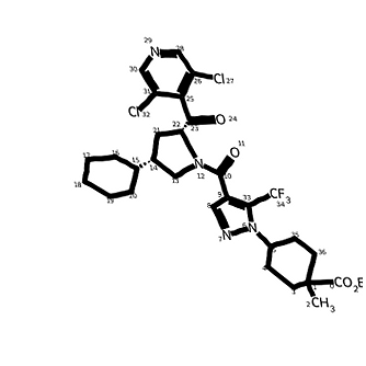 CCOC(=O)C1(C)CCC(n2ncc(C(=O)N3C[C@H](C4CCCCC4)C[C@@H]3C(=O)c3c(Cl)cncc3Cl)c2C(F)(F)F)CC1